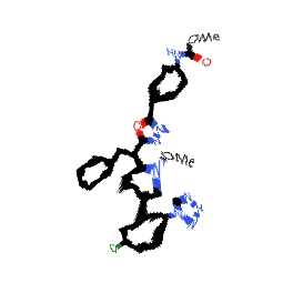 COC(=O)Nc1ccc(-c2nnc(C(Cc3ccccc3)c3ccc(-c4cc(Cl)ccc4-n4cnnn4)c[n+]3OC)o2)cc1